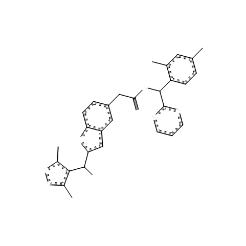 Cc1ccc(C(NC(=O)Cc2ccc3oc(C(O)c4c(C)noc4C)cc3c2)c2ncccn2)c(C)c1